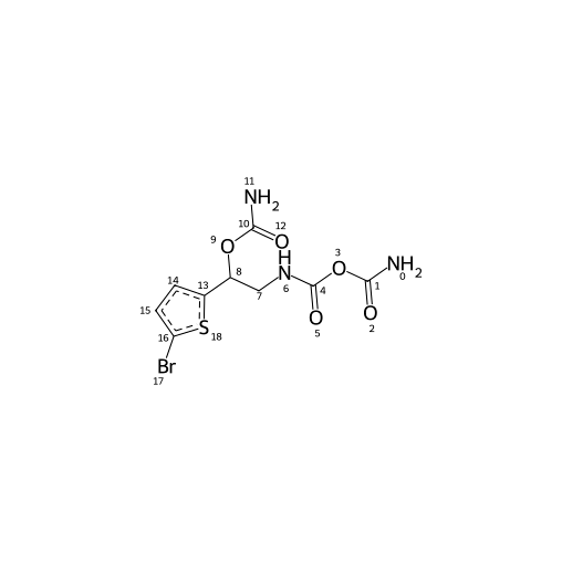 NC(=O)OC(=O)NCC(OC(N)=O)c1ccc(Br)s1